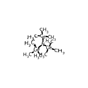 [CH3][Ge]([CH3])([CH3])[N]([Ge]([CH3])([CH3])[CH3])[Ge]([CH3])([CH3])[CH3]